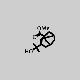 COC(=O)C12CC3CC(C1)CC(C(C)(C)O)(C3)C2